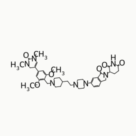 COc1cc(C2=CN(C)C(=O)N(C)C2)cc(OC)c1CN1CCC(CCN2CCN(c3ccc4c(c3)C(=O)N(C3CCC(=O)NC3=O)C4)CC2)CC1